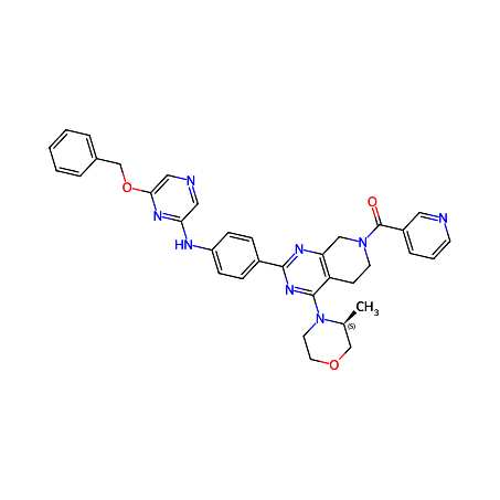 C[C@H]1COCCN1c1nc(-c2ccc(Nc3cncc(OCc4ccccc4)n3)cc2)nc2c1CCN(C(=O)c1cccnc1)C2